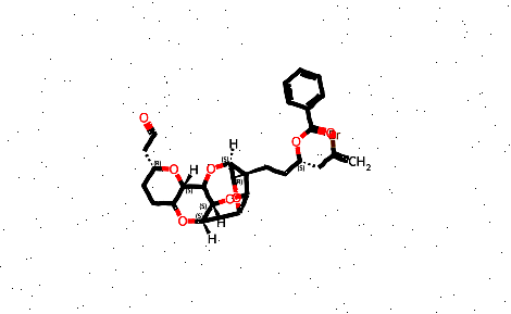 C=C(Br)C[C@H](CC[C@H]1OC2C3C[C@@H]1OC1[C@H]4O[C@@H](CC=O)CCC4O[C@@H]2[C@H]1O3)OC(=O)c1ccccc1